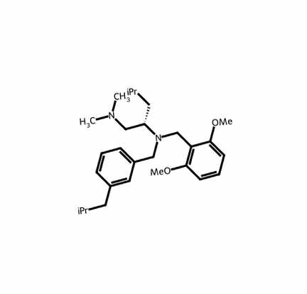 COc1cccc(OC)c1CN(Cc1cccc(CC(C)C)c1)[C@@H](CC(C)C)CN(C)C